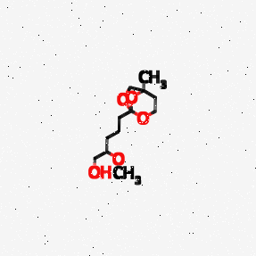 COC(CO)CCCC12OCCC(C)(CO1)O2